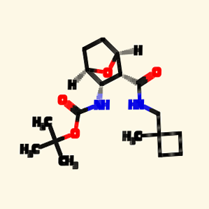 CC1(CNC(=O)[C@@H]2[C@H](NC(=O)OC(C)(C)C)[C@H]3CC[C@@H]2O3)CCC1